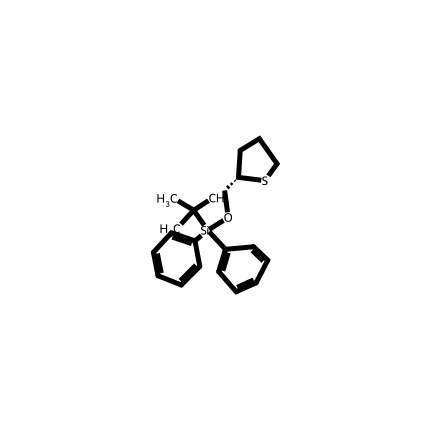 CC(C)(C)[Si](OC[C@@H]1CCCS1)(c1ccccc1)c1ccccc1